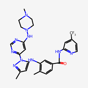 Cc1cc(Nc2cc(C(=O)Nc3cc(C(F)(F)F)ccn3)ccc2C)n(-c2cc(NN3CCN(C)CC3)ncn2)n1